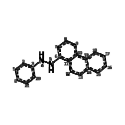 c1ccc(NNc2cccc3c2ccc2ccccc23)cc1